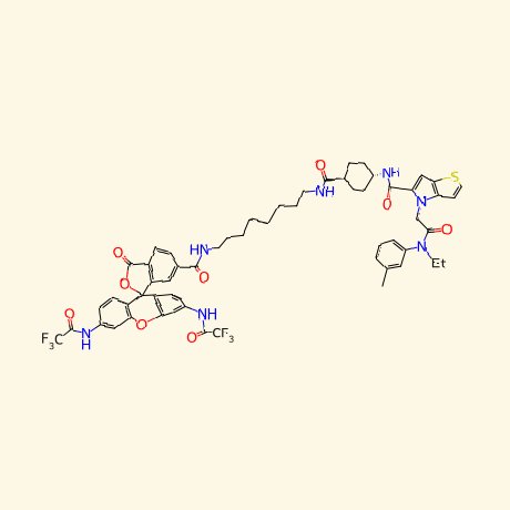 CCN(C(=O)Cn1c(C(=O)N[C@H]2CC[C@H](C(=O)NCCCCCCCCNC(=O)c3ccc4c(c3)C3(OC4=O)c4ccc(NC(=O)C(F)(F)F)cc4Oc4cc(NC(=O)C(F)(F)F)ccc43)CC2)cc2sccc21)c1cccc(C)c1